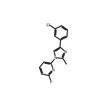 Cc1nc(-c2cccc(Cl)c2)cn1-c1cccc(F)n1